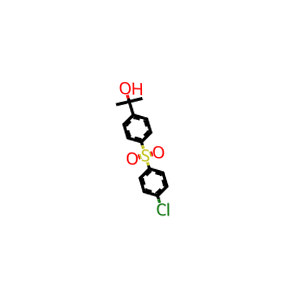 CC(C)(O)c1ccc(S(=O)(=O)c2ccc(Cl)cc2)cc1